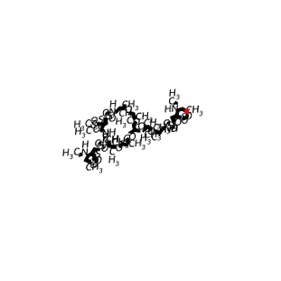 CCNCc1cc(S(=O)(=O)NCCC(C)(C)OCCC(C)(C)OCC(COC(C)(C)CCOC(C)(C)CCNS(=O)(=O)c2cc3c(s2)S(=O)(=O)[C@@H](C)C[C@@H]3NCC)COC(C)(CC)COC(C)(C)CCNS(=O)(=O)c2cc3c(o2)S(=O)(=O)[C@@H](C)C[C@@H]3NCC)sc1S(=O)(=O)C(C)C